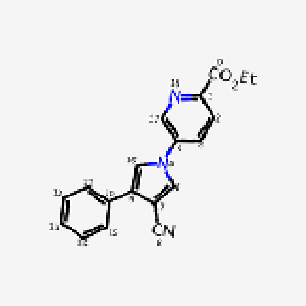 CCOC(=O)c1ccc(-n2cc(C#N)c(-c3ccccc3)c2)cn1